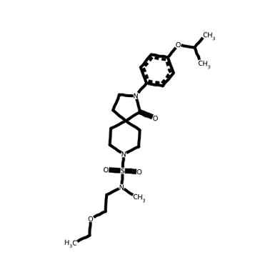 CCOCCN(C)S(=O)(=O)N1CCC2(CCN(c3ccc(OC(C)C)cc3)C2=O)CC1